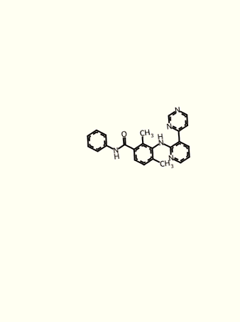 Cc1ccc(C(=O)Nc2ccccc2)c(C)c1Nc1ncccc1-c1ccncn1